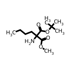 CCCCC(N)(C(=O)OC)C(=O)OC(C)(C)C